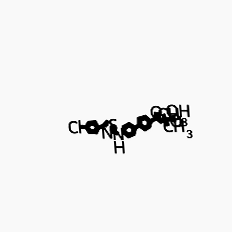 CC(C)(CC(=O)c1ccc(-c2ccc(Nc3nc(-c4ccc(Cl)cc4)cs3)cc2)cc1)C(=O)O